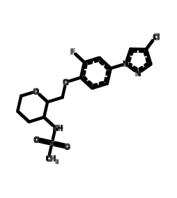 CS(=O)(=O)NC1CCCOC1COc1ccc(-n2cc(Cl)cn2)cc1F